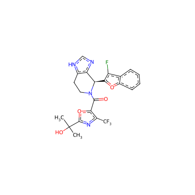 CC(C)(O)c1nc(C(F)(F)F)c(C(=O)N2CCc3[nH]cnc3[C@H]2c2oc3ccccc3c2F)o1